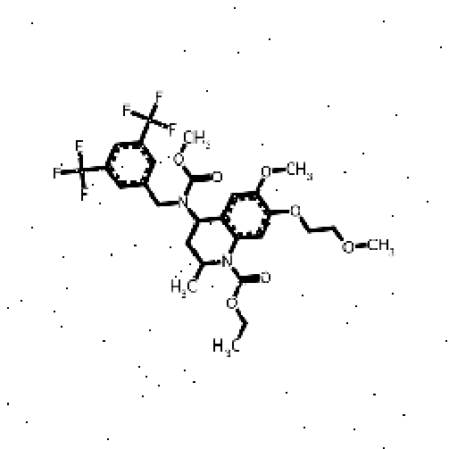 CCOC(=O)N1c2cc(OCCOC)c(OC)cc2C(N(Cc2cc(C(F)(F)F)cc(C(F)(F)F)c2)C(=O)OC)CC1C